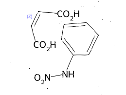 O=C(O)/C=C\C(=O)O.O=[N+]([O-])Nc1ccccc1